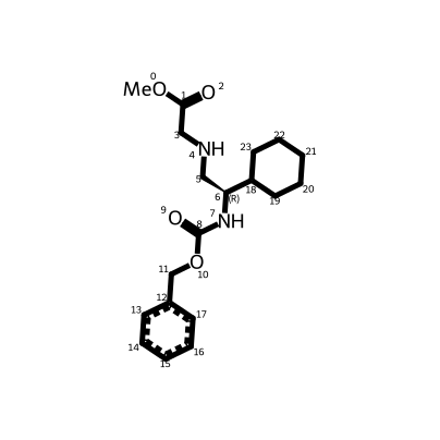 COC(=O)CNC[C@H](NC(=O)OCc1ccccc1)C1CCCCC1